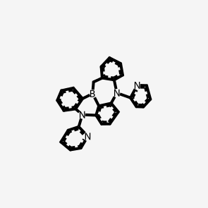 c1ccc(N2c3ccccc3CB3c4ccccc4N(c4ccccn4)c4cccc2c43)nc1